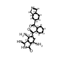 N=C1NC(=O)c2c(N)cc(C(=O)c3ccccc3C(=O)c3ccc4c(c3)CN=C4)c(N)c21